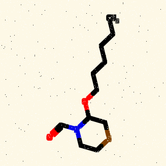 CCCCCCOC1CSCCN1C=O